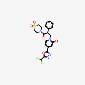 O=C(C(Cn1ccc(-c2nnc(C(F)F)o2)cc1=O)c1ccccc1)N1CCS(=O)(=O)CC1